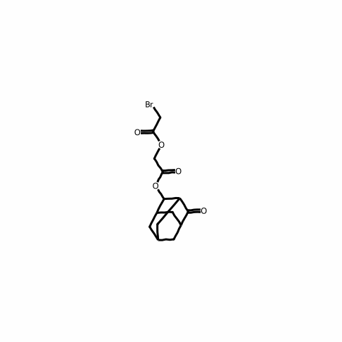 O=C(CBr)OCC(=O)OC1C2CC3CC(C2)C(=O)C1C3